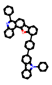 c1ccc(-c2nc3ccccc3c3c2ccc2c4cccc(-c5ccc(-c6ccc7c8ccccc8n(-c8ccccc8)c7c6)cc5)c4oc23)cc1